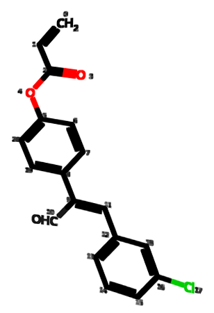 C=CC(=O)Oc1ccc(C(C=O)=Cc2cccc(Cl)c2)cc1